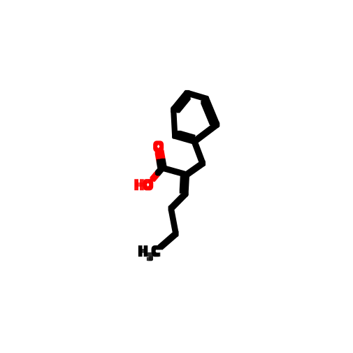 CCC/C=C(/Cc1ccccc1)C(=O)O